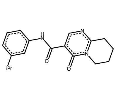 CC(C)c1cccc(NC(=O)c2cnc3n(c2=O)CCCC3)c1